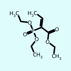 C/C=C(/C(=O)OCC)P(=O)(OCC)OCC